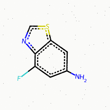 Nc1cc(F)c2ncsc2c1